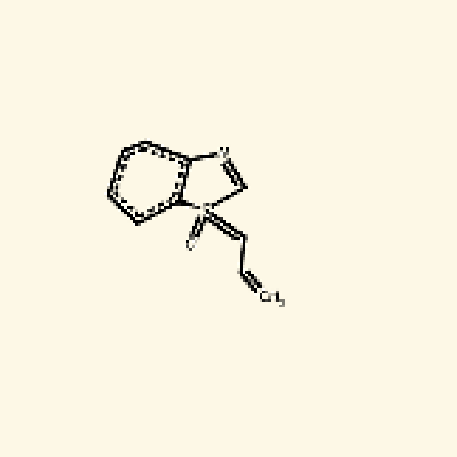 C=CC=[S@]1(=O)C=Nc2ccccc21